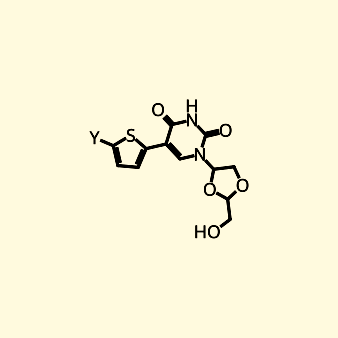 O=c1[nH]c(=O)n(C2COC(CO)O2)cc1-c1cc[c]([Y])s1